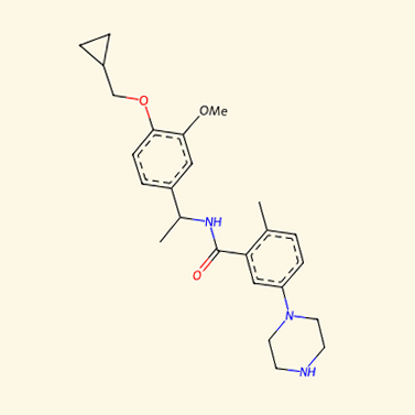 COc1cc(C(C)NC(=O)c2cc(N3CCNCC3)ccc2C)ccc1OCC1CC1